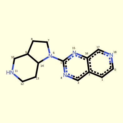 c1cc2cnc(N3CCC4CNCCC43)nc2cn1